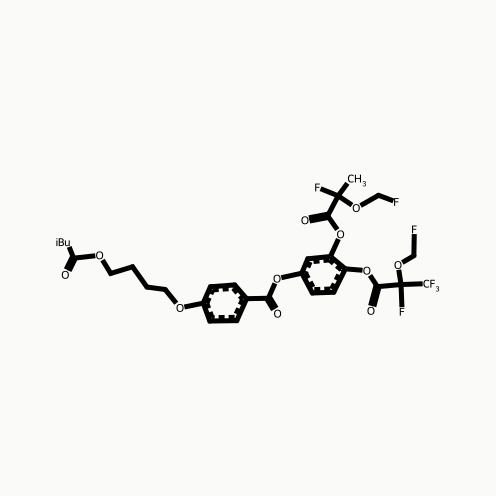 CCC(C)C(=O)OCCCCOc1ccc(C(=O)Oc2ccc(OC(=O)C(F)(OCF)C(F)(F)F)c(OC(=O)C(C)(F)OCF)c2)cc1